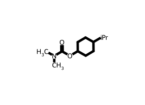 CC(C)C1CCC(OC(=O)N(C)C)CC1